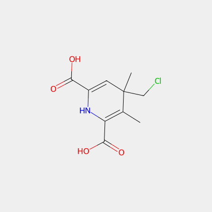 CC1=C(C(=O)O)NC(C(=O)O)=CC1(C)CCl